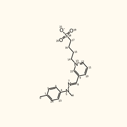 Cc1ccc(N(C)N=Cc2ccc[n+](CCCCS(=O)(=O)[O-])c2)cc1